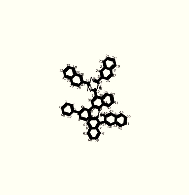 c1ccc(-c2cccc(-c3cc(-c4nc(-c5ccc6ccccc6c5)nc(-c5ccc6ccccc6c5)n4)c4ccccc4c3-n3c4cc5ccccc5cc4c4c5ccccc5ccc43)c2)cc1